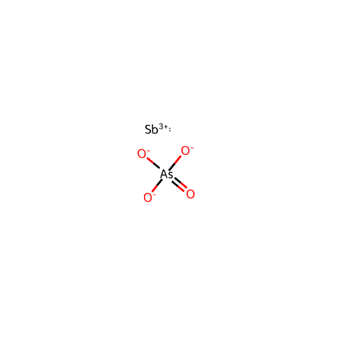 O=[As]([O-])([O-])[O-].[Sb+3]